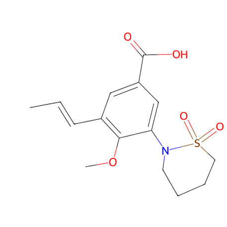 C/C=C/c1cc(C(=O)O)cc(N2CCCCS2(=O)=O)c1OC